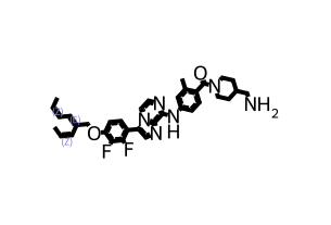 C\C=C/C=C(\C=C/C)COc1ccc(-c2cnc3c(Nc4ccc(C(=O)N5CCC(CN)CC5)c(C)c4)nccn23)c(F)c1F